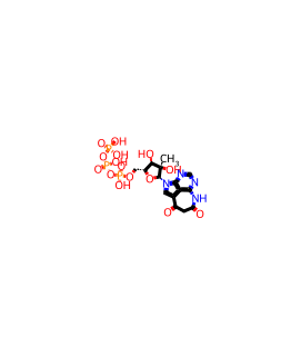 C[C@@]1(O)[C@H](O)[C@@H](COP(=O)(O)OP(=O)(O)OP(=O)(O)O)O[C@H]1n1cc2c3c(ncnc31)NC(=O)CC2=O